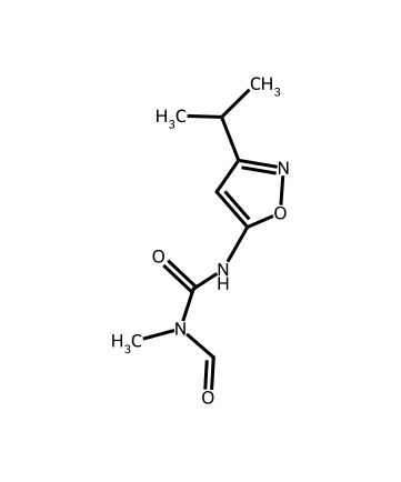 CC(C)c1cc(NC(=O)N(C)C=O)on1